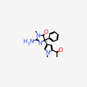 CC(=O)c1cc([C@@]2(c3ccccc3)N=C(N)N(C)C2=O)cn1C